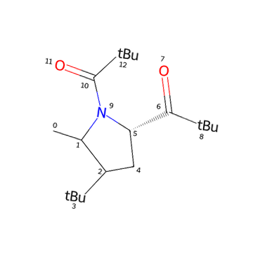 CC1C(C(C)(C)C)C[C@@H](C(=O)C(C)(C)C)N1C(=O)C(C)(C)C